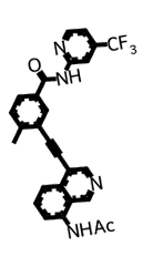 CC(=O)Nc1cccc2c(C#Cc3cc(C(=O)Nc4cc(C(F)(F)F)ccn4)ccc3C)cncc12